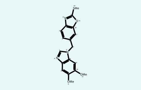 COc1cc2ncn(Cc3ccc4nc(SC)oc4c3)c2cc1OC